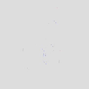 CCCc1nc(C)c2c(=O)[nH]c(-c3cc(S(=O)(=O)N4CCCC(O)C4)ccc3OCC)nn12